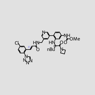 CCCC[C@@H](Nc1cc(NC(=O)OC)ccc1-c1cncc(CNC(=O)/C=C/c2cc(Cl)ccc2-n2cnnn2)c1)C(=O)N1CCC1